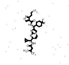 CC(CC(=O)N[C@H](c1ccn2cc([C@@H](NC(=O)c3conc3CCC(F)(F)F)C3CCC(F)(F)CC3)nc2n1)C1CC1)C(F)(F)F